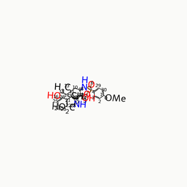 COc1ccc(S(=O)(=O)NC(CC(C)(C)CCO)[C@H](O)[C@H](Cc2ccccc2)NC(=O)O)cc1